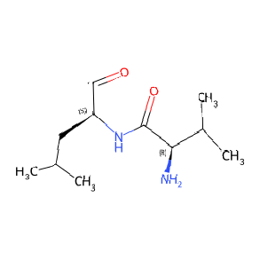 CC(C)C[C@@H]([C]=O)NC(=O)[C@H](N)C(C)C